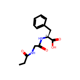 CCC(=O)NCC(=O)N[C@@H](Cc1ccccc1)C(=O)O